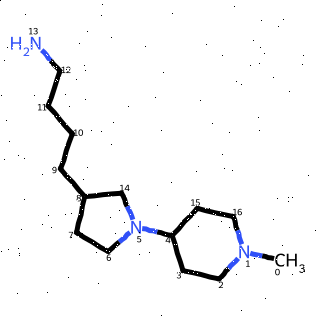 CN1CCC(N2CCC(CCCCN)C2)CC1